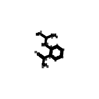 CCCC(N)Nc1ccccc1C(N)=O